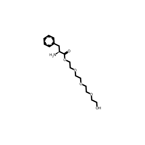 N[C@@H](Cc1ccccc1)C(=O)OCCOCCOCCOCCO